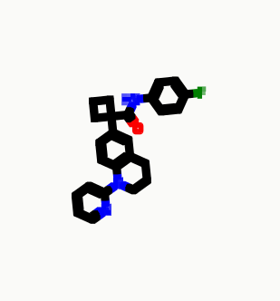 O=C(Nc1ccc(F)cc1)C1(c2ccc3c(c2)CCCN3c2ccccn2)CCC1